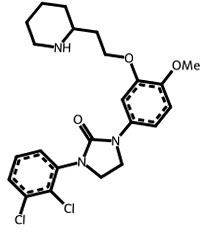 COc1ccc(N2CCN(c3cccc(Cl)c3Cl)C2=O)cc1OCCC1CCCCN1